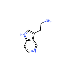 NCCc1c[nH]c2ccncc12